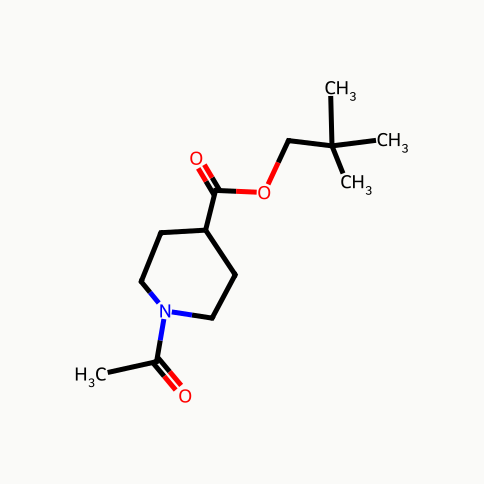 CC(=O)N1CCC(C(=O)OCC(C)(C)C)CC1